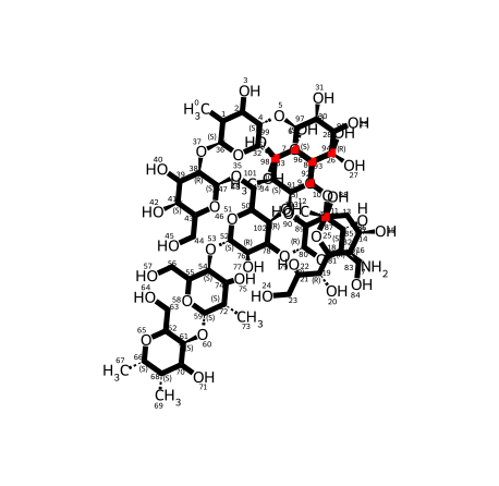 CC1C(O)[C@H](O[C@@H]2OC(CO[C@]3(C(=O)O)C[C@@H](O)[C@@H](N)C([C@H](O)[C@H](O)CO)O3)[C@H](O)C(O)[C@@H]2O)[C@H](CO)O[C@H]1O[C@@H]1C(O)[C@H](O)C(CO)O[C@@H]1OCC1O[C@@H](O[C@@H]2C(CO)O[C@@H](O[C@@H]3C(CO)O[C@@H](C)[C@@H](C)C3O)[C@@H](C)C2O)[C@H](O)C(O[C@H]2O[C@H](CO)[C@@H](O)C(O)C2O[C@@H]2OC(CO)[C@@H](O)C(O)[C@@H]2C)[C@@H]1O